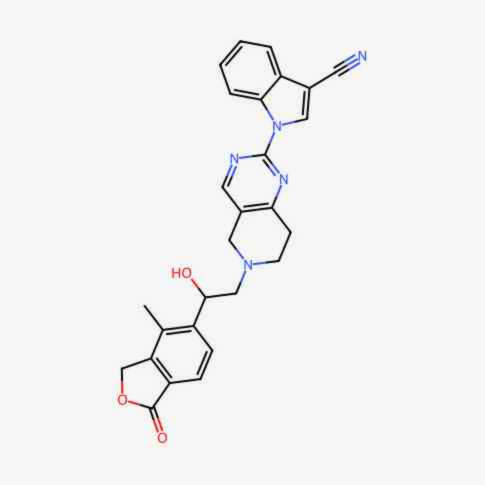 Cc1c(C(O)CN2CCc3nc(-n4cc(C#N)c5ccccc54)ncc3C2)ccc2c1COC2=O